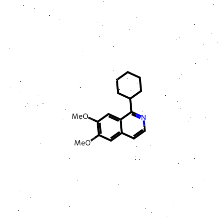 COc1cc2ccnc(C3CCCCC3)c2cc1OC